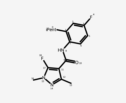 CCCC(C)c1cc(F)ccc1NC(=O)c1c(C)nn(C)c1F